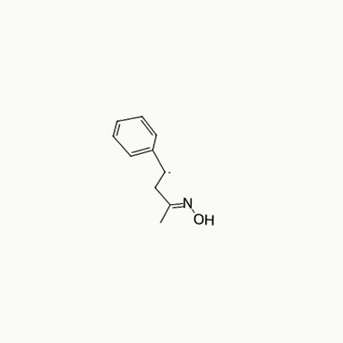 CC(C[CH]c1ccccc1)=NO